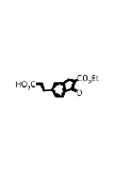 CCOC(=O)C1Cc2cc(CCC(=O)O)ccc2C1=O